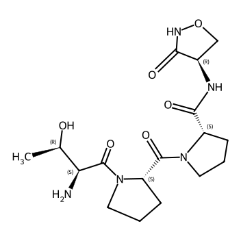 C[C@@H](O)[C@H](N)C(=O)N1CCC[C@H]1C(=O)N1CCC[C@H]1C(=O)N[C@@H]1CONC1=O